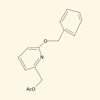 CC(=O)OCc1cccc(OCc2ccccc2)n1